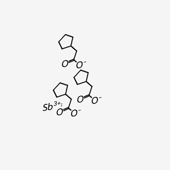 O=C([O-])CC1CCCC1.O=C([O-])CC1CCCC1.O=C([O-])CC1CCCC1.[Sb+3]